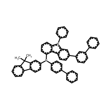 CC1(C)c2ccccc2-c2ccc(N(c3ccc(-c4ccccc4)cc3)c3cccc4c3c3ccc(-c5cccc(-c6ccccc6)c5)cc3n4-c3ccccc3)cc21